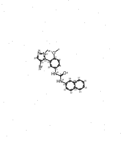 COc1ccc(NC(=O)Nc2ccc3ccccc3c2)cc1-c1c(Br)cnn1C